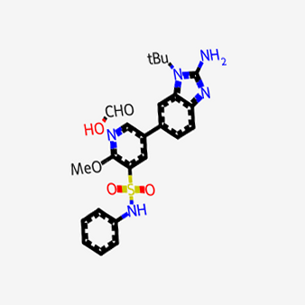 COc1ncc(-c2ccc3nc(N)n(C(C)(C)C)c3c2)cc1S(=O)(=O)Nc1ccccc1.O=CO